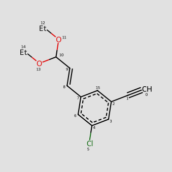 C#Cc1cc(Cl)cc(/C=C/C(OCC)OCC)c1